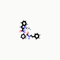 Cn1c(C(=O)N[C@H]2CCCC[C@H]2C(=O)NCCc2ccccc2)cc2ccccc21